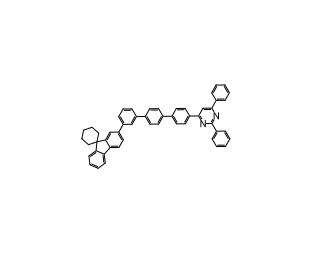 c1ccc(-c2cc(-c3ccc(-c4ccc(-c5cccc(-c6ccc7c(c6)C6(CCCCC6)c6ccccc6-7)c5)cc4)cc3)nc(-c3ccccc3)n2)cc1